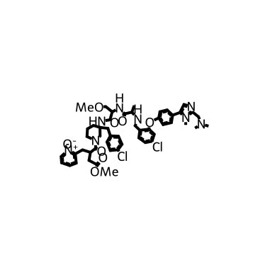 COCC(NC(=O)C(C)NCc1ccc(Cl)cc1Oc1ccc(-c2cnc(CN(C)C)n2C)cc1)C(=O)NC1(Cc2ccc(Cl)cc2)CCCN(C(=O)C(CC(=O)OC)Cc2cccc[n+]2[O-])C1